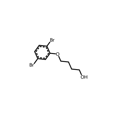 OCCCCOc1cc(Br)ccc1Br